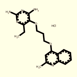 CCc1nc(N)nc(N)c1OCCCOc1cc(C)nc2ccccc12.Cl